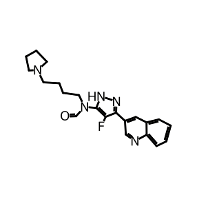 O=CN(CCCCN1CCCC1)c1[nH]nc(-c2cnc3ccccc3c2)c1F